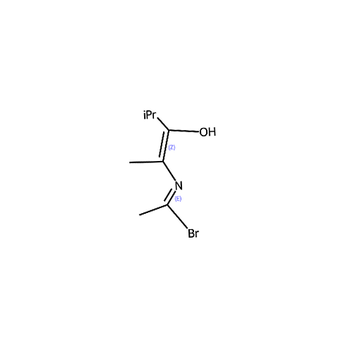 CC(/N=C(\C)Br)=C(/O)C(C)C